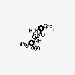 CC(C)N(C)[C@@H]1CC[C@H](NC(=O)CNC(=O)c2cc(OC(F)(F)F)ccc2N)[C@H](CS(C)(=O)=O)C1